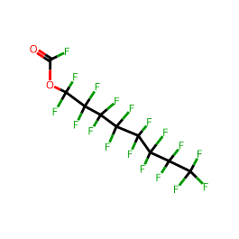 O=C(F)OC(F)(F)C(F)(F)C(F)(F)C(F)(F)C(F)(F)C(F)(F)C(F)(F)C(F)(F)F